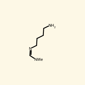 CN/C=N\CCCCN